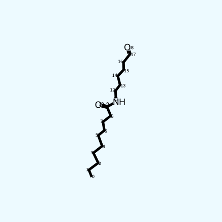 CCCCCCCCCC(=O)NCCCCC[C]=O